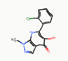 Cn1ncc2c(=O)c(O)c(-c3ccccc3Cl)[nH]c21